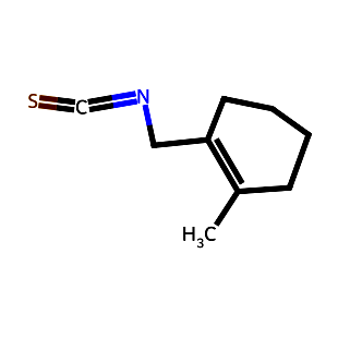 CC1=C(CN=C=S)CCCC1